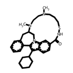 CN1CCCSNC(=O)c2ccc3c(C4CCCCC4)c4n(c3c2)CC(Cc2ccccc2-4)N(C)CC1